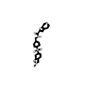 Cn1cc2ccc(S(=O)(=O)c3ccc(CNC(=O)c4cc5ccncc5o4)cc3)cc2n1